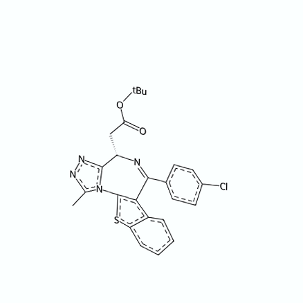 Cc1nnc2n1-c1sc3ccccc3c1C(c1ccc(Cl)cc1)=N[C@H]2CC(=O)OC(C)(C)C